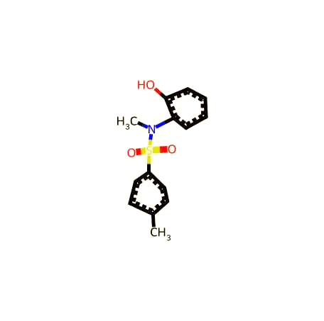 Cc1ccc(S(=O)(=O)N(C)c2ccccc2O)cc1